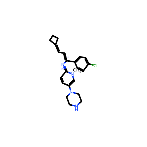 Cn1cc(N2CCNCC2)cc/c1=N/C(=C\C=C1CCC1)c1ccc(Cl)cc1